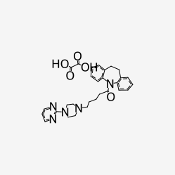 O=C(CCCCN1CCN(c2ncccn2)CC1)N1c2ccccc2CCc2ccccc21.O=C(O)C(=O)O